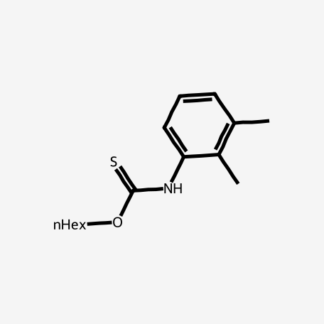 CCCCCCOC(=S)Nc1cccc(C)c1C